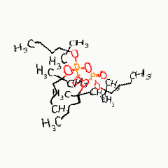 CCCCC(C)(C)OP(=O)(OC(C)(C)CCCC)OP(=O)(OC(C)(C)CCCC)OC(C)(C)CCCC